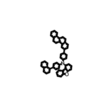 c1ccc2c(-c3ccc(N(c4ccc(-c5ccc6ccc7c8ccccc8ccc7c6c5)cc4)c4cccc5oc6ccccc6c45)cc3)cccc2c1